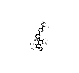 CCN(C)C1CCC(c2ccc3[nH]c(-c4cn5ncnc5c(C)c4C)c(C(C)C)c3n2)CC1